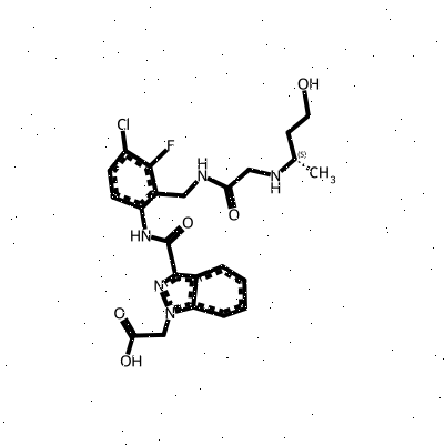 C[C@@H](CCO)NCC(=O)NCc1c(NC(=O)c2nn(CC(=O)O)c3ccccc23)ccc(Cl)c1F